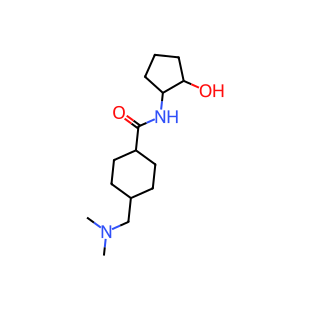 CN(C)CC1CCC(C(=O)NC2CCCC2O)CC1